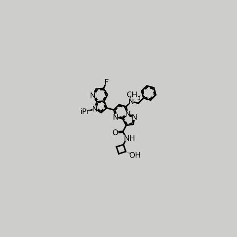 CC(C)n1cc(-c2cc(N(C)Cc3ccccc3)n3ncc(C(=O)NC4CC[C@H]4O)c3n2)c2cc(F)cnc21